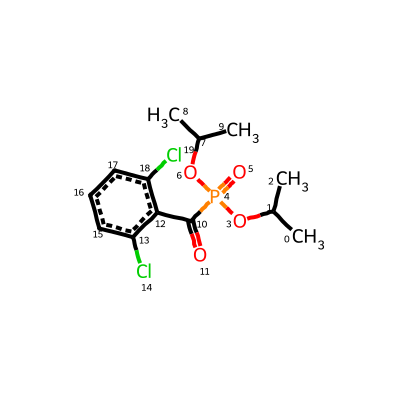 CC(C)OP(=O)(OC(C)C)C(=O)c1c(Cl)cccc1Cl